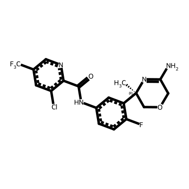 C[C@@]1(c2cc(NC(=O)c3ncc(C(F)(F)F)cc3Cl)ccc2F)COCC(N)=N1